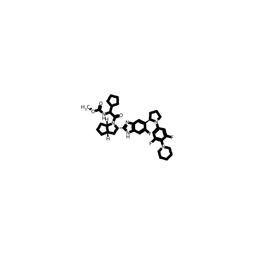 COC(=O)NC(C(=O)N1[C@H](c2nc3cc([C@H]4CCCN4c4cc(F)c(N5CCCCC5)c(F)c4)c(F)cc3[nH]2)C[C@@H]2CCC[C@@H]21)C1CCCC1